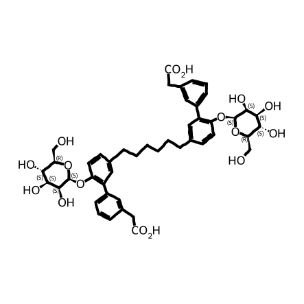 O=C(O)Cc1cccc(-c2cc(CCCCCCc3ccc(O[C@@H]4O[C@H](CO)[C@@H](O)[C@H](O)[C@@H]4O)c(-c4cccc(CC(=O)O)c4)c3)ccc2O[C@@H]2O[C@H](CO)[C@@H](O)[C@H](O)[C@@H]2O)c1